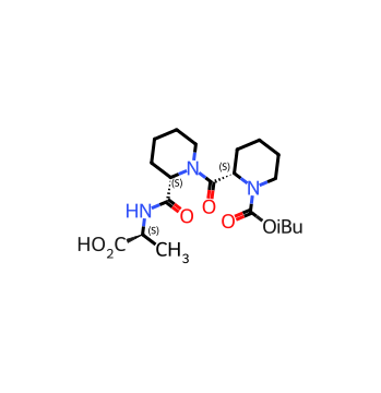 CC(C)COC(=O)N1CCCC[C@H]1C(=O)N1CCCC[C@H]1C(=O)N[C@@H](C)C(=O)O